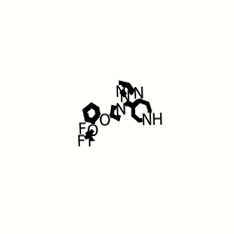 FC(F)(F)Oc1ccccc1OC1CN(c2c3c(nc4ccnn24)CCNCC3)C1